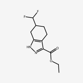 CCOC(=O)c1n[nH]c2c1CCC(C(F)F)C2